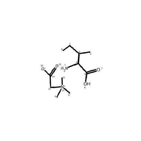 CCC(C)C(N)C(=O)O.C[N+](C)(C)CC(=O)[O-]